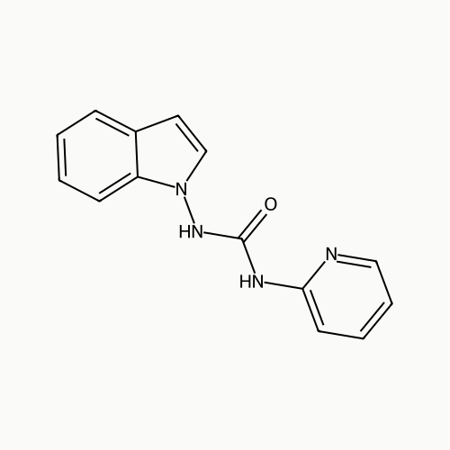 O=C(Nc1ccccn1)Nn1ccc2ccccc21